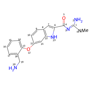 CNC(N)=NC(=O)c1cc2ccc(Oc3ccccc3CN)cc2[nH]1